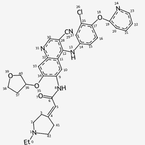 CCN1CCC(=CC(=O)Nc2cc3c(Nc4ccc(Oc5ccccn5)c(Cl)c4)c(C#N)cnc3cc2OC2CCOC2)CC1